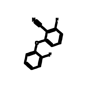 N#Cc1c(F)cccc1Oc1ccccc1F